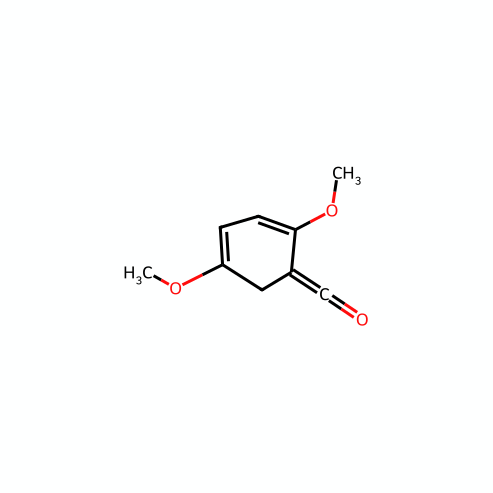 COC1=CC=C(OC)C(=C=O)C1